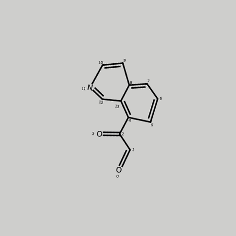 O=CC(=O)c1cccc2ccncc12